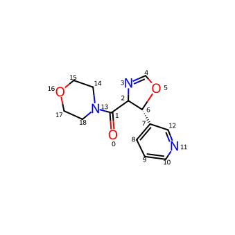 O=C(C1N=CO[C@@H]1c1cccnc1)N1CCOCC1